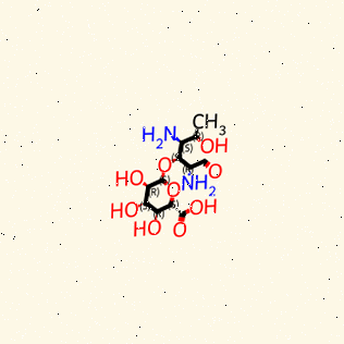 C[C@@H](O)[C@H](N)[C@H](O[C@H]1O[C@H](C(=O)O)[C@H](O)[C@H](O)[C@H]1O)[C@@H](N)C=O